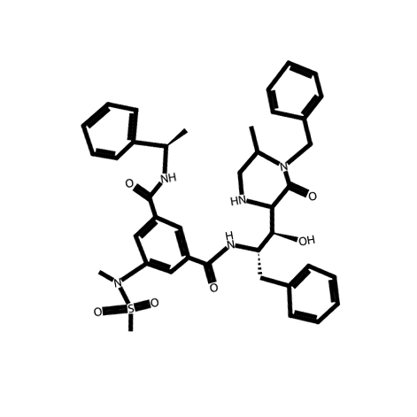 CC1CNC([C@@H](O)[C@H](Cc2ccccc2)NC(=O)c2cc(C(=O)N[C@H](C)c3ccccc3)cc(N(C)S(C)(=O)=O)c2)C(=O)N1Cc1ccccc1